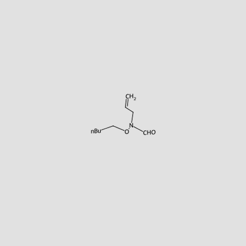 C=CCN(C=O)OCCCCC